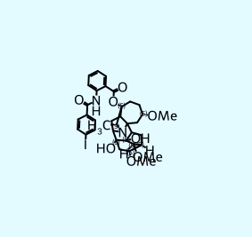 CO[C@H]1CC[C@]2(OC(=O)c3ccccc3NC(=O)c3ccc(I)cc3)C3CC4N([C@H]2C)C3(C1)C1C[C@@H]2[C@@H](OC)C[C@@]4(O)[C@@]1(O)[C@H]2OC